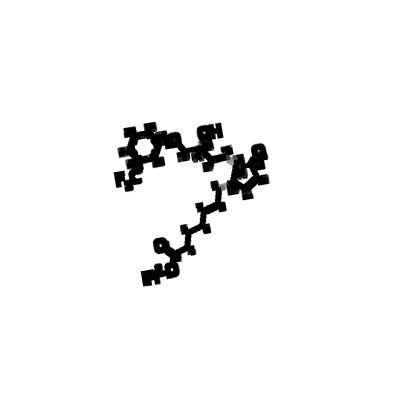 CC(C)OC(=O)CCCC=CC[C@H]1C=CC(=O)[C@H]1C=C[C@@H](O)COc1cccc(C(F)(F)F)c1